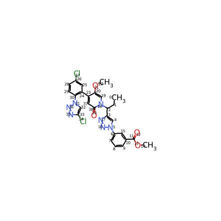 CCC(c1cn(-c2cccc(C(=O)OC)c2)nn1)n1cc(OC)c(-c2cc(Cl)ccc2-n2cc(Cl)nn2)cc1=O